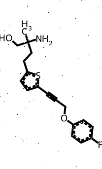 CC(N)(CO)CCc1ccc(C#CCOc2ccc(F)cc2)s1